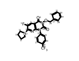 O=c1c2cc(F)c(N3CCCC3)nc2n(-c2ccc(C(F)(F)F)cc2)c(=O)n1OCc1ccccc1